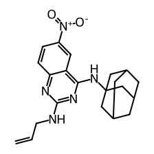 C=CCNc1nc(NC23CC4CC(CC(C4)C2)C3)c2cc([N+](=O)[O-])ccc2n1